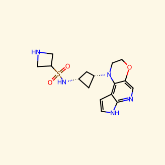 O=S(=O)(N[C@H]1C[C@@H](N2CCOc3cnc4[nH]ccc4c32)C1)C1CNC1